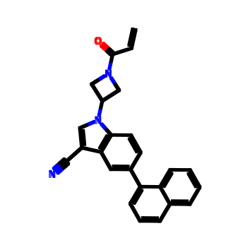 C=CC(=O)N1CC(n2cc(C#N)c3cc(-c4cccc5ccccc45)ccc32)C1